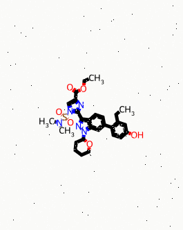 CCOC(=O)c1cn(S(=O)(=O)N(C)C)c(-c2nn(C3CCCCO3)c3cc(-c4ccc(O)cc4CC)ccc23)n1